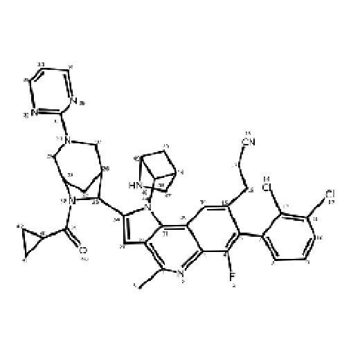 Cc1nc2c(F)c(-c3cccc(Cl)c3Cl)c(CCC#N)cc2c2c1cc(C1C3CC(CN(c4ncccn4)C3)N1C(=O)C1CC1)n2C1C2CNC1C2